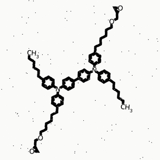 CCCCCCc1ccc(N(c2ccc(CCCCCCOCC3CO3)cc2)c2ccc(-c3ccc(N(c4ccc(CCCCCC)cc4)c4ccc(CCCCCCOCC5CO5)cc4)cc3)cc2)cc1